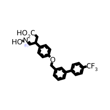 O=C(O)CC(/C=N/O)c1ccc(OCc2cccc(-c3ccc(C(F)(F)F)cc3)c2)cc1